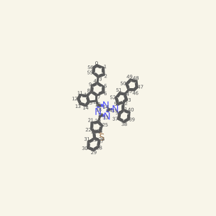 c1ccc(-c2ccc3c(c2)-c2ccccc2C3c2nc(-c3ccc4c(c3)sc3ccccc34)nc(-n3c4ccccc4c4cc(-c5ccccc5)ccc43)n2)cc1